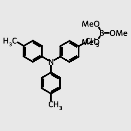 COB(OC)OC.Cc1ccc(N(c2ccc(C)cc2)c2ccc(C)cc2)cc1